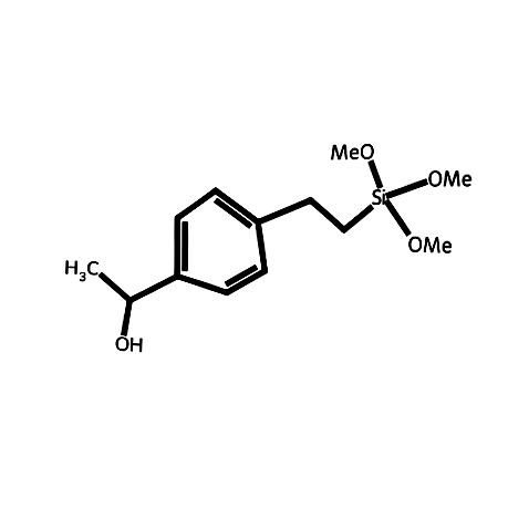 CO[Si](CCc1ccc(C(C)O)cc1)(OC)OC